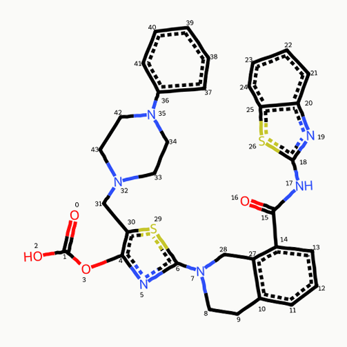 O=C(O)Oc1nc(N2CCc3cccc(C(=O)Nc4nc5ccccc5s4)c3C2)sc1CN1CCN(c2ccccc2)CC1